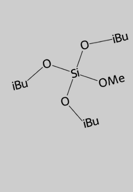 CCC(C)O[Si](OC)(OC(C)CC)OC(C)CC